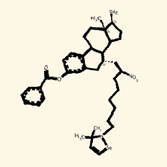 CC(=O)O[C@H]1CCC2C3C(CC[C@@]21C)c1ccc(OC(=O)c2ccccc2)cc1C[C@H]3CC(CCCCCCN1[Se]C=CC1(C)C)[N+](=O)[O-]